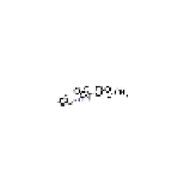 CC(F)Oc1ccc(C2=N/C(=C/CCc3cccs3)C(=O)O2)cc1